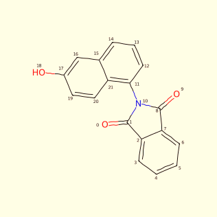 O=C1c2ccccc2C(=O)N1c1cccc2cc(O)ccc12